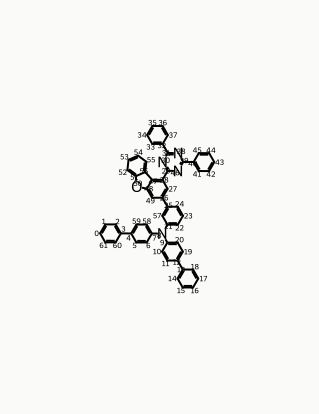 c1ccc(-c2ccc(N(c3ccc(-c4ccccc4)cc3)c3cccc(-c4cc(-c5nc(-c6ccccc6)nc(-c6ccccc6)n5)c5c(c4)oc4ccccc45)c3)cc2)cc1